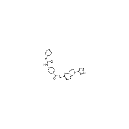 O=C(Nc1ccc(C(=O)C=Cc2ccc3cc(-c4csnn4)ccc3n2)cc1)Oc1ccccc1